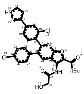 CC(C)(C)C(=O)c1oc2nc(-c3ccc(-c4cc[nH]n4)cc3Cl)c(-c3ccc(Cl)cc3)cc2c1NC(=O)CO